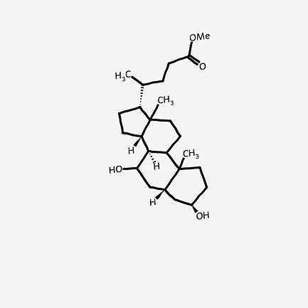 COC(=O)CCC(C)[C@H]1CC[C@H]2[C@@H]3C(O)C[C@H]4C[C@H](O)CCC4(C)C3CCC12C